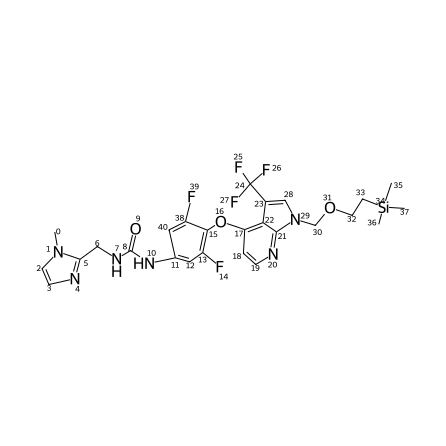 Cn1ccnc1CNC(=O)Nc1cc(F)c(Oc2ccnc3c2c(C(F)(F)F)cn3COCC[Si](C)(C)C)c(F)c1